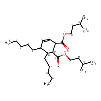 CCCCCC1C=CC(C(=O)OCCC(C)C)C(C(=O)OCCC(C)C)C1CCCCC